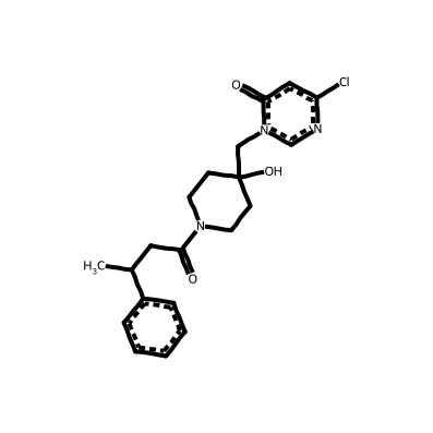 CC(CC(=O)N1CCC(O)(Cn2cnc(Cl)cc2=O)CC1)c1ccccc1